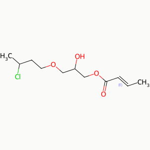 C/C=C/C(=O)OCC(O)COCCC(C)Cl